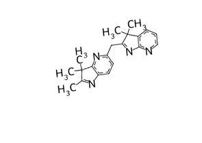 CC1=Nc2ccc(CC3=Nc4ncccc4C3(C)C)nc2C1(C)C